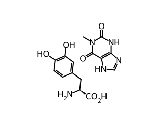 Cn1c(=O)[nH]c2nc[nH]c2c1=O.N[C@@H](Cc1ccc(O)c(O)c1)C(=O)O